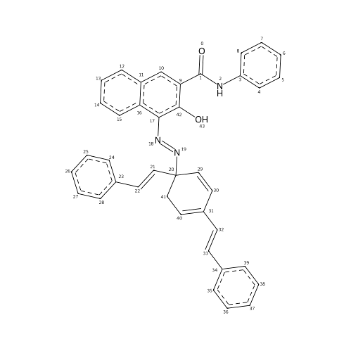 O=C(Nc1ccccc1)c1cc2ccccc2c(/N=N/C2(/C=C/c3ccccc3)C=CC(/C=C/c3ccccc3)=CC2)c1O